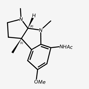 COc1cc(NC(C)=O)c2c(c1)[C@]1(C)CCN(C)[C@@H]1N2C